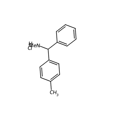 CNC(c1ccccc1)c1ccc(C)cc1.Cl